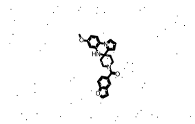 COc1ccc2c(c1)NC1(CCN(C(=O)c3ccc4occc4c3)CC1)c1cccn1-2